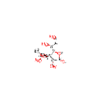 CC[SiH2]O.O=C1O[C@H]([C@@H](O)CO)C(O)=C1O